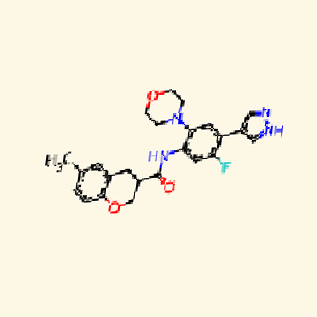 Cc1ccc2c(c1)CC(C(=O)Nc1cc(F)c(-c3cn[nH]c3)cc1N1CCOCC1)CO2